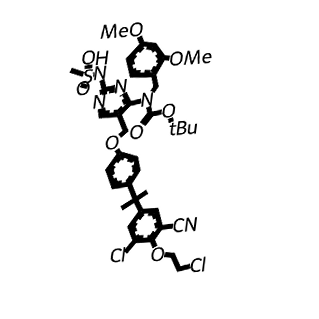 COc1ccc(CN(C(=O)OC(C)(C)C)c2nc(NS(C)(=O)=O)ncc2COc2ccc(C(C)(C)c3cc(Cl)c(OCCCl)c(C#N)c3)cc2)c(OC)c1